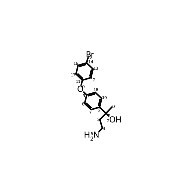 CC(O)(CCN)c1ccc(Oc2ccc(Br)cc2)cc1